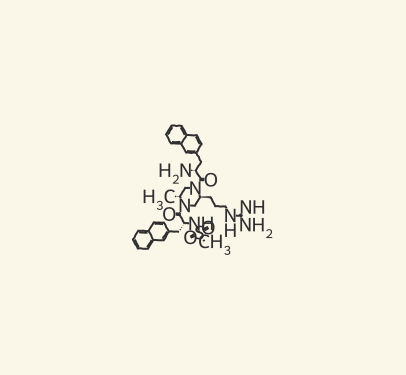 C[C@@H]1CN(C(=O)[C@H](N)Cc2ccc3ccccc3c2)[C@@H](CCCNC(=N)N)CN1C(=O)[C@@H](Cc1ccc2ccccc2c1)NS(C)(=O)=O